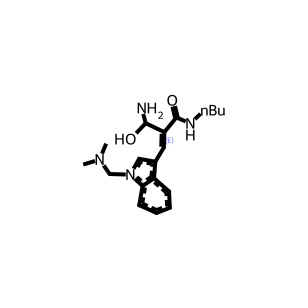 CCCCNC(=O)/C(=C/c1cn(CN(C)C)c2ccccc12)C(N)O